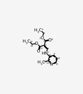 CCOC(=O)C(=CNc1cccnc1C)C(=O)OCC